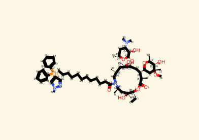 CC[C@H]1OC(=O)[C@H](C)[C@@H](C2C[C@@](C)(OC)[C@@H](O)[C@H](C)O2)C[C@@H](O[C@@H]2O[C@H](C)C[C@H](N(C)C)[C@H]2O)[C@](C)(O)C[C@@H](C)CN(C(=O)CCCCCCCCCCC[PH](c2ccccc2)(c2ccccc2)c2cnn(C)c2)[C@H](C)C[C@]1(C)O